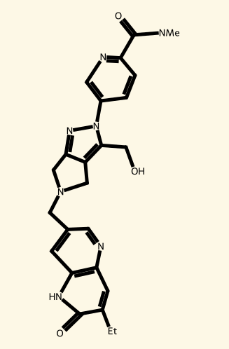 CCc1cc2ncc(CN3Cc4nn(-c5ccc(C(=O)NC)nc5)c(CO)c4C3)cc2[nH]c1=O